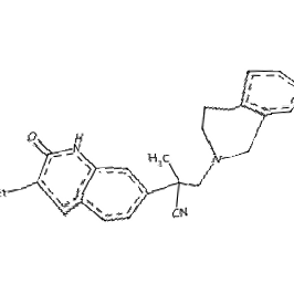 CCc1cc2ccc(C(C)(C#N)CN3CCc4ccccc4C3)cc2[nH]c1=O